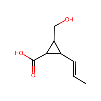 CC=CC1C(CO)C1C(=O)O